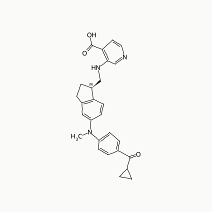 CN(c1ccc(C(=O)C2CC2)cc1)c1ccc2c(c1)CC[C@H]2CNc1cnccc1C(=O)O